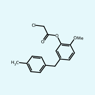 COc1ccc(Cc2ccc(C)cc2)cc1OC(=O)CCl